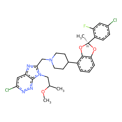 COC(C)Cn1c(CN2CCC(c3cccc4c3O[C@@](C)(c3ccc(Cl)cc3F)O4)CC2)nc2cc(Cl)nnc21